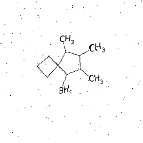 BC1C(C)C(C)C(C)C12CCC2